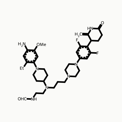 C=C1NC(=O)CCC1c1c(F)cc(N2CCN(CCCN(CCNC=O)C3CCN(c4cc(OC)c(N)cc4CC)CC3)CC2)cc1F